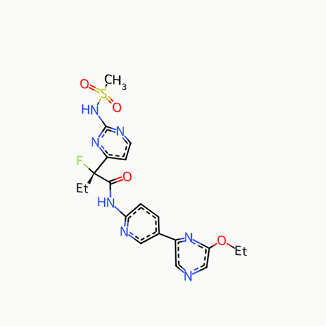 CCOc1cncc(-c2ccc(NC(=O)[C@@](F)(CC)c3ccnc(NS(C)(=O)=O)n3)nc2)n1